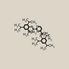 C/C(=N\c1c(C(C)C)cc(C(C)C)cc1C(C)C)c1ccnc(/C(C)=N/c2c(C(C)C)cc(C(C)C)cc2C(C)C)n1